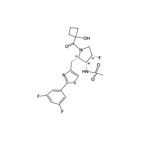 CS(=O)(=O)N[C@H]1[C@@H](F)CN(C(=O)C2(O)CCC2)[C@H]1Cc1csc(-c2cc(F)cc(F)c2)n1